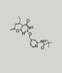 C=C1C=C(CC)c2c(nc(OCc3ccnc(NC(=O)C(C)(C)C)c3)[nH]c2=O)O1